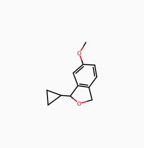 COc1ccc2c(c1)C(C1CC1)OC2